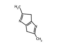 CC1=NC2=C(C1)N=C(C)C2